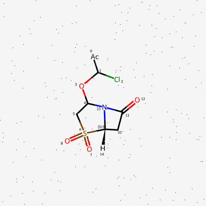 CC(=O)C(Cl)OC1CS(=O)(=O)[C@H]2CC(=O)N12